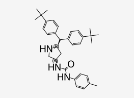 Cc1ccc(NC(=O)N[C@H]2CN[C@@H](C(c3ccc(C(C)(C)C)cc3)c3ccc(C(C)(C)C)cc3)C2)cc1